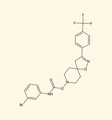 O=C(Nc1cccc(Br)c1)ON1CCC2(CC1)CC(c1ccc(C(F)(F)F)cc1)=NO2